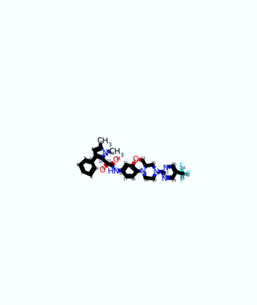 Cc1cc(-c2ccccc2)c(C(=O)C(=O)Nc2ccc3c(c2)OCC2CN(c4ncc(C(F)(F)F)cn4)CCN32)n1C